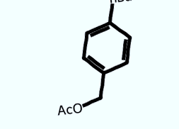 CCCCc1ccc(COC(C)=O)cc1